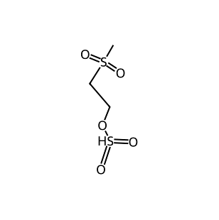 CS(=O)(=O)CCO[SH](=O)=O